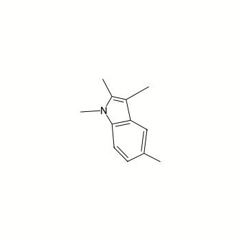 Cc1ccc2c(c1)c(C)c(C)n2C